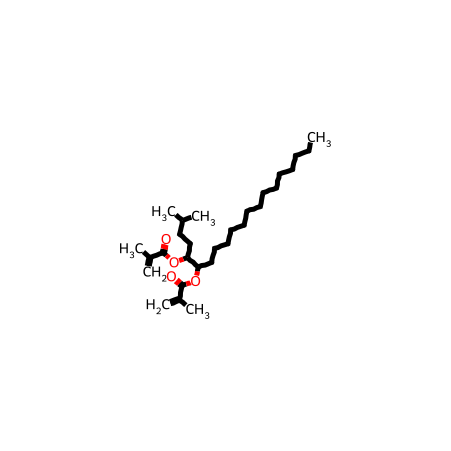 C=C(C)C(=O)OC(CCCCCCCCCCCCCC)C(CCC(C)C)OC(=O)C(=C)C